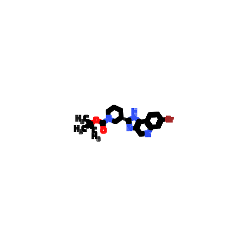 CC(C)(C)OC(=O)N1CCC[C@H](c2nc3cnc4cc(Br)ccc4c3[nH]2)C1